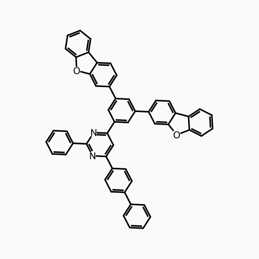 c1ccc(-c2ccc(-c3cc(-c4cc(-c5ccc6c(c5)oc5ccccc56)cc(-c5ccc6c(c5)oc5ccccc56)c4)nc(-c4ccccc4)n3)cc2)cc1